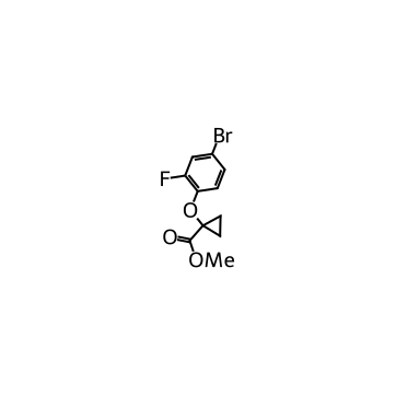 COC(=O)C1(Oc2ccc(Br)cc2F)CC1